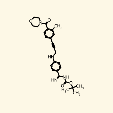 Cc1cc(C#CCNc2ccc(C(=N)NC(=O)OC(C)(C)C)cc2)ccc1C(=O)N1CCOCC1